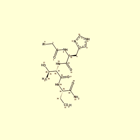 CC(C)CC(=O)N[C@@H](Cc1c[nH]cn1)C(=O)N[C@H](C(=O)N[C@@H](CC(=O)O)C(N)=O)[C@@H](C)O